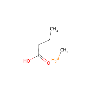 CCCC(=O)O.CP